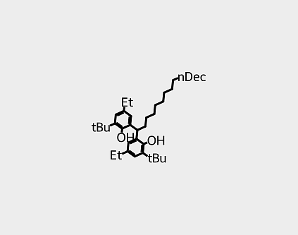 CCCCCCCCCCCCCCCCCCC(c1cc(CC)cc(C(C)(C)C)c1O)c1cc(CC)cc(C(C)(C)C)c1O